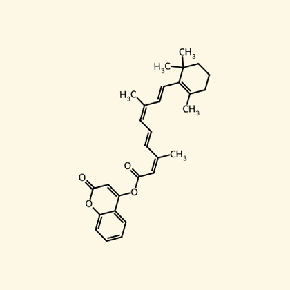 CC(C=CC1=C(C)CCCC1(C)C)=CC=CC(C)=CC(=O)Oc1cc(=O)oc2ccccc12